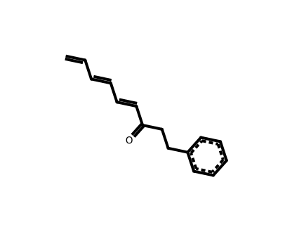 C=CC=CC=CC(=O)CCc1ccccc1